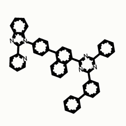 c1ccc(-c2cccc(-c3nc(-c4ccccc4)nc(-c4ccc(-c5ccc(-n6c(-c7ccccn7)nc7ccccc76)cc5)c5ccccc45)n3)c2)cc1